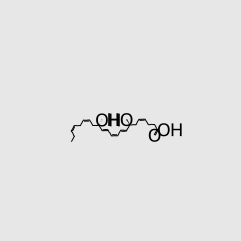 CC/C=C\C/C=C\C[C@H](O)/C=C/C=C\C=C\[C@@H](O)C/C=C\CCC(=O)O